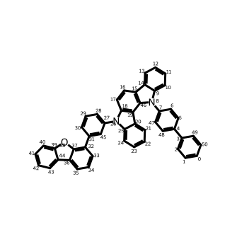 c1ccc(-c2ccc(-n3c4ccccc4c4ccc5c(c6ccccc6n5-c5cccc(-c6cccc7c6oc6ccccc67)c5)c43)cc2)cc1